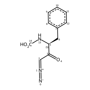 [N-]=[N+]=CC(=O)[C@H](Cc1ccccc1)NC(=O)O